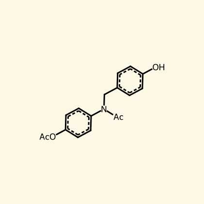 CC(=O)Oc1ccc(N(Cc2ccc(O)cc2)C(C)=O)cc1